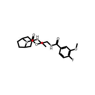 CCOC(=O)N1C2CCC1CC(NCCNC(=O)c1ccc(F)c(OC)c1)C2